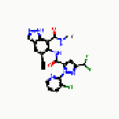 C#Cc1cc2cn[nH]c2c(C(=O)NC(C)C)c1NC(=O)c1cc(C(F)F)nn1-c1ncccc1Cl